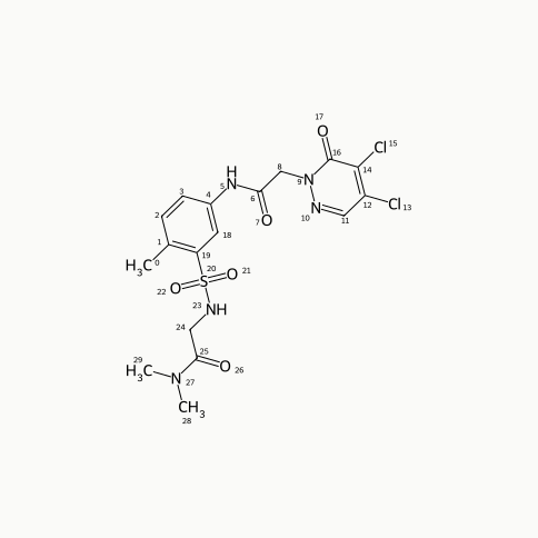 Cc1ccc(NC(=O)Cn2ncc(Cl)c(Cl)c2=O)cc1S(=O)(=O)NCC(=O)N(C)C